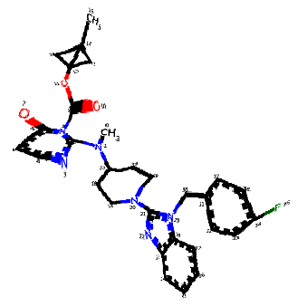 CN(c1nccc(=O)n1C(=O)OC12CC1(C)C2)C1CCN(c2nc3ccccc3n2Cc2ccc(F)cc2)CC1